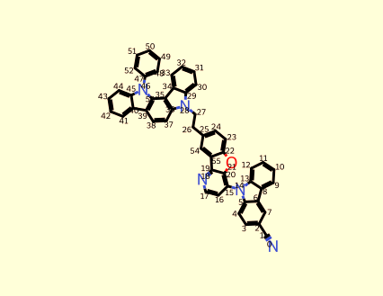 N#Cc1ccc2c(c1)c1ccccc1n2-c1ccnc2c1oc1ccc(CCn3c4ccccc4c4c3ccc3c5ccccc5n(-c5ccccc5)c34)cc12